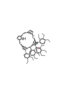 CCc1ccc(C2=Cc3cc4ccc(cc5nc(cc6[nH]c(c(-c7ccc(CC)c(CC)c7CC)c2n3)c(-c2ccc(CC)c(CC)c2CC)c6-c2ccc(CC)c(CC)c2CC)C=C5)[nH]4)c(CC)c1CC